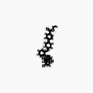 CCOC(=O)c1ccc(N2CCN(Cc3ccccc3N[C@H]3C[C@@H]4C[C@H]([C@@H]3C)C4(C)C)CC2)cc1